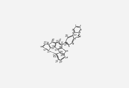 c1ccc2c(c1)sc1ccc(-c3cc4c5c6c(cccc6c6cccc7c6c5c3C7)C4)cc12